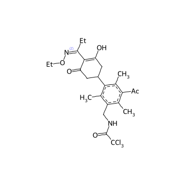 CCO/N=C(/CC)C1=C(O)CC(c2c(C)c(CNC(=O)C(Cl)(Cl)Cl)c(C)c(C(C)=O)c2C)CC1=O